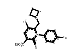 CCOC(=O)c1cc(Cl)c(CN2CCC2)n(-c2ccc(F)cc2)c1=O